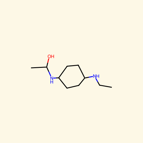 CCNC1CCC(NC(C)O)CC1